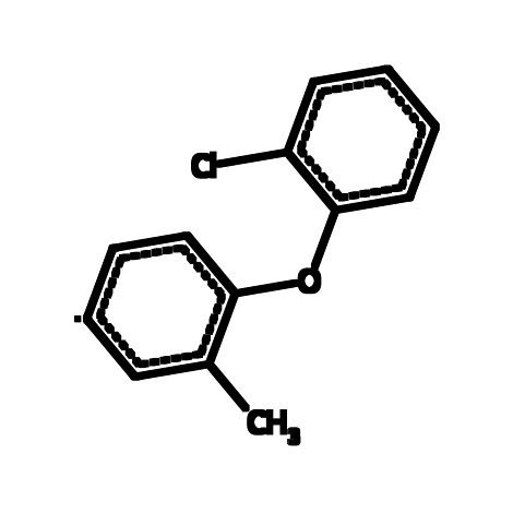 Cc1c[c]ccc1Oc1ccccc1Cl